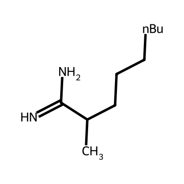 CCCCCCCC(C)C(=N)N